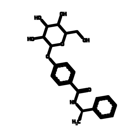 C[C@@H](NC(=O)c1ccc(OC2OC(CO)C(O)C(O)C2O)cc1)c1ccccc1